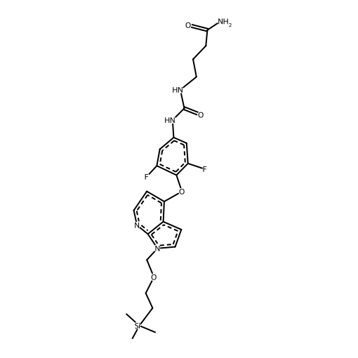 C[Si](C)(C)CCOCn1ccc2c(Oc3c(F)cc(NC(=O)NCCCC(N)=O)cc3F)ccnc21